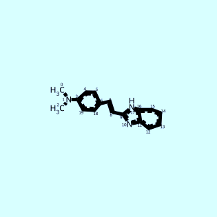 CN(C)c1ccc(C=Cc2nc3ccccc3[nH]2)cc1